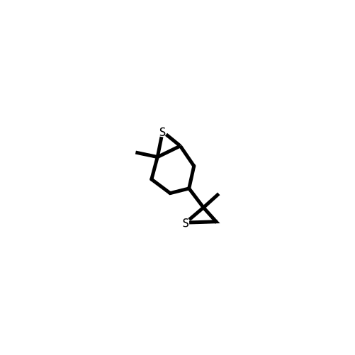 CC1(C2CCC3(C)SC3C2)CS1